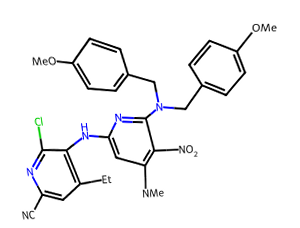 CCc1cc(C#N)nc(Cl)c1Nc1cc(NC)c([N+](=O)[O-])c(N(Cc2ccc(OC)cc2)Cc2ccc(OC)cc2)n1